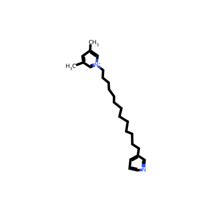 Cc1cc(C)c[n+](CCCCCCCCCCCCCc2cccnc2)c1